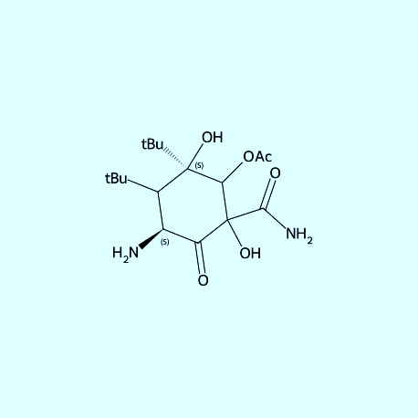 CC(=O)OC1C(O)(C(N)=O)C(=O)[C@@H](N)C(C(C)(C)C)[C@]1(O)C(C)(C)C